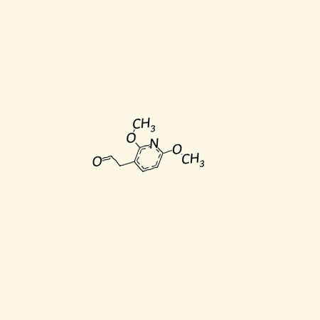 COc1ccc(CC=O)c(OC)n1